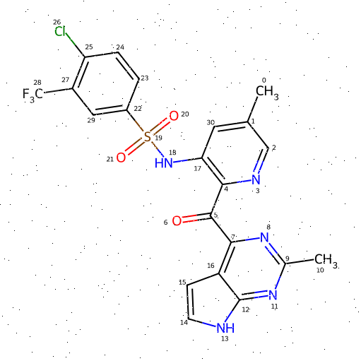 Cc1cnc(C(=O)c2nc(C)nc3[nH]ccc23)c(NS(=O)(=O)c2ccc(Cl)c(C(F)(F)F)c2)c1